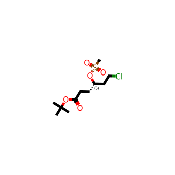 CC(C)(C)OC(=O)CC[C@@H](CCCl)OS(C)(=O)=O